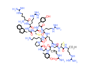 C[C@H](NC(=O)[C@H](Cc1ccc(O)cc1)NC(=O)[C@@H]1CCCN1C(=O)[C@@H](CCCCN)NC(=O)[C@H](CCCCN)NC(=O)[C@H](CCCNC(=N)N)NC(=O)[C@H](Cc1ccc(O)cc1)NC(=O)[C@H](CS)NC(=O)[C@H](Cc1ccc2ccccc2c1)NC(=O)[C@H](CCCNC(=N)N)NC(=O)[C@@H](N)CCCNC(=N)N)C(=O)N[C@@H](CCCNC(N)=O)C(=O)N[C@@H](CS)C(=O)N[C@@H](CCCNC(=N)N)C(=O)O